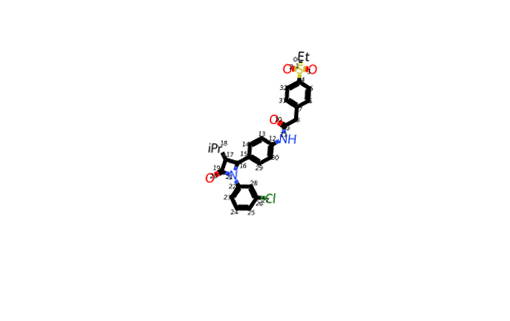 CCS(=O)(=O)c1ccc(CC(=O)Nc2ccc(C3C(C(C)C)C(=O)N3c3cccc(Cl)c3)cc2)cc1